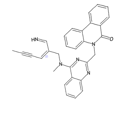 CC#C/C=C(\C=N)CN(C)c1nc(Cn2c(=O)c3ccccc3c3ccccc32)nc2ccccc12